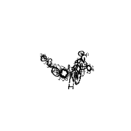 CCC(=O)c1csc(NC(=O)[C@H]([C@@H](C)c2ccccc2)N2C(=O)N[C@H](c3ccc(OCCOCCOC)cc3)C2=O)n1